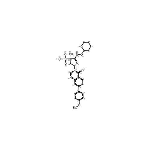 CCOc1ccc(-c2ccc3c(=O)n(CC[C@](C)(C(=O)NOC4CCCCO4)S(C)(=O)=O)cnc3c2)cc1